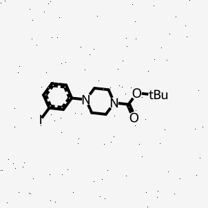 CC(C)(C)OC(=O)N1CCN(c2cccc(I)c2)CC1